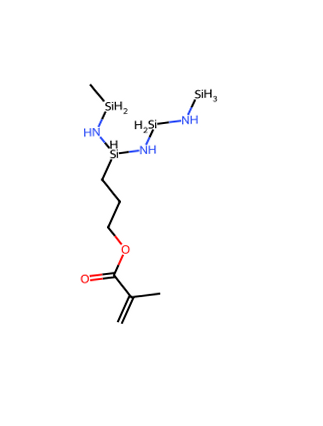 C=C(C)C(=O)OCCC[SiH](N[SiH2]C)N[SiH2]N[SiH3]